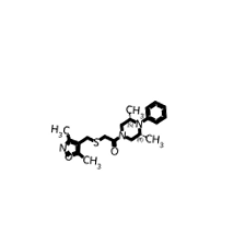 Cc1noc(C)c1CSCC(=O)N1C[C@@H](C)N(c2ccccc2)[C@@H](C)C1